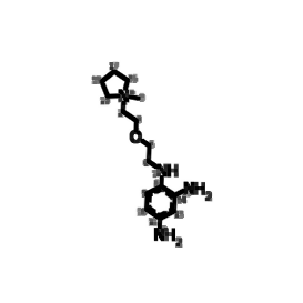 C[N+]1(CCOCCNc2ccc(N)cc2N)CCCC1